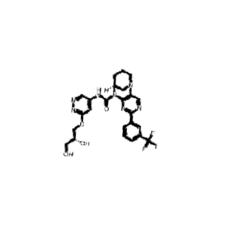 O=C(Nc1cnnc(OC[C@H](O)CO)c1)N1c2nc(-c3cccc(C(F)(F)F)c3)ncc2N2CCC[C@H]1C2